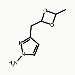 CC1OC(Cc2ccn(N)n2)O1